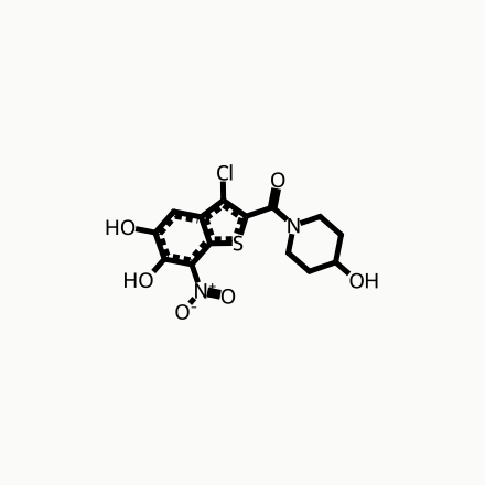 O=C(c1sc2c([N+](=O)[O-])c(O)c(O)cc2c1Cl)N1CCC(O)CC1